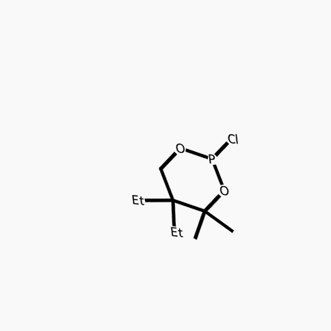 CCC1(CC)COP(Cl)OC1(C)C